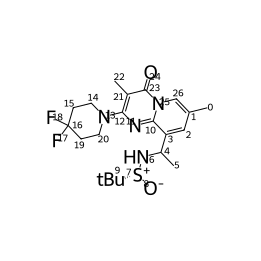 Cc1cc(C(C)N[S@+]([O-])C(C)(C)C)c2nc(N3CCC(F)(F)CC3)c(C)c(=O)n2c1